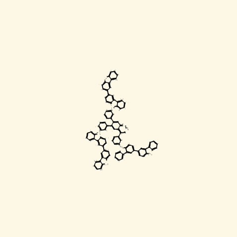 c1cc(-c2cc3nncc(-c4cccc(-n5c6ccccc6c6cc(-c7ccc8sc9ccccc9c8c7)ccc65)c4)c3cc2-c2cccc(-n3c4ccccc4c4cc(-c5ccc6sc7ccccc7c6c5)ccc43)c2)cc(-n2c3ccccc3c3cc(-c4ccc5sc6ccccc6c5c4)ccc32)c1